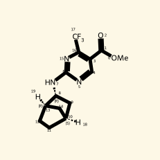 COC(=O)c1cnc(N[C@@H]2C[C@H]3CC[C@@H]2C3)nc1C(F)(F)F